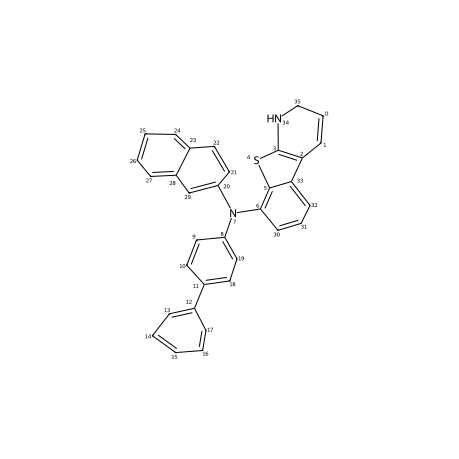 C1=Cc2c(sc3c(N(c4ccc(-c5ccccc5)cc4)c4ccc5ccccc5c4)cccc23)NC1